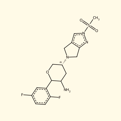 CS(=O)(=O)n1cc2c(n1)CN([C@H]1COC(c3cc(F)ccc3F)C(N)C1)C2